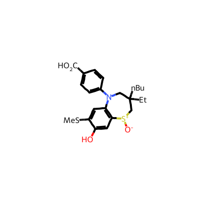 CCCCC1(CC)CN(c2ccc(C(=O)O)cc2)c2cc(SC)c(O)cc2[S+]([O-])C1